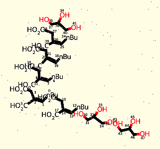 CCCCC=C(CC(=O)O)C(=O)O.CCCCC=C(CC(=O)O)C(=O)O.CCCCC=C(CC(=O)O)C(=O)O.CCCCC=C(CC(=O)O)C(=O)O.CCCCC=C(CC(=O)O)C(=O)O.OCC(O)CO.OCC(O)CO.OCC(O)CO